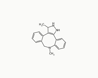 CC1NNC2=C1c1ccccc1CN(C)c1ccccc12